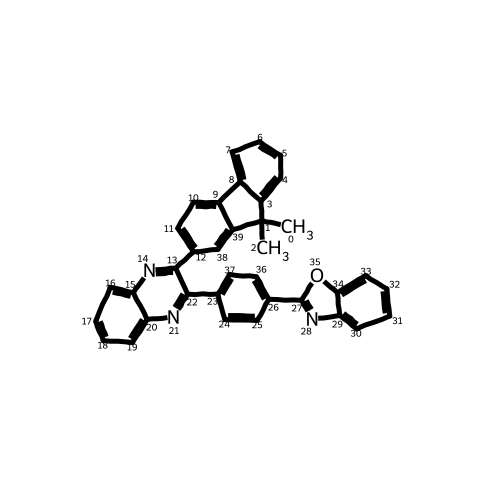 CC1(C)c2ccccc2-c2ccc(-c3nc4ccccc4nc3-c3ccc(-c4nc5ccccc5o4)cc3)cc21